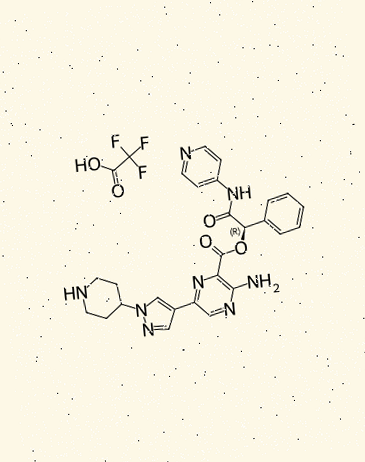 Nc1ncc(-c2cnn(C3CCNCC3)c2)nc1C(=O)O[C@@H](C(=O)Nc1ccncc1)c1ccccc1.O=C(O)C(F)(F)F